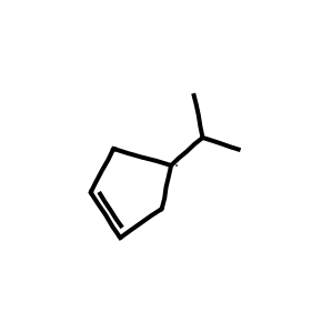 CC(C)[C]1CC=CC1